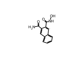 NC(=O)c1cc2ccccc2[c]c1C(=O)NO